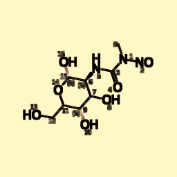 CN(N=O)C(=O)N[C@H]1C(O)[C@H](O)C(CO)O[C@@H]1O